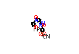 CCCOc1cccc(Cn2cc(-c3noc(-c4ccc(S(=O)(=O)CC#N)cc4)n3)ccc2=O)c1